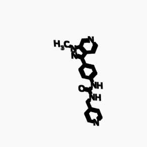 Cn1nc(-c2ccc(NC(=O)NCc3ccncc3)cc2)c2ccncc21